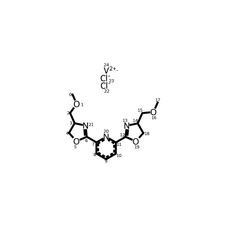 COCC1COC(c2cccc(C3=NC(COC)CO3)n2)=N1.[Cl-].[Cl-].[V+2]